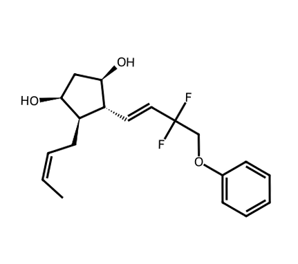 C/C=C\C[C@@H]1[C@@H](/C=C/C(F)(F)COc2ccccc2)[C@H](O)C[C@@H]1O